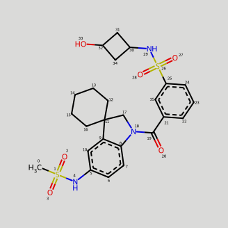 CS(=O)(=O)Nc1ccc2c(c1)C1(CCCCC1)CN2C(=O)c1cccc(S(=O)(=O)NC2CC(O)C2)c1